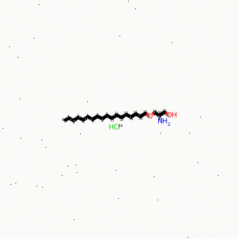 CCCCCCCCCCCCCCCCCCOC[C@@H](N)CO.Cl